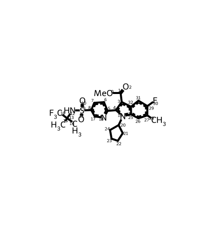 COC(=O)c1c(-c2ccc(S(=O)(=O)NC(C)(C)C(F)(F)F)cn2)n(C2CCCC2)c2cc(C)c(F)cc12